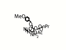 CCCC1OC(CO[C@@H]2C(COCc3ccc(OC)cc3)O[C@@H](N=[N+]=[N-])C(N)C2OC(C)=O)O1